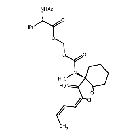 C=C(/C(Cl)=C\C=C/C)[C@]1(N(C)C(=O)OCOC(=O)[C@@H](NC(C)=O)C(C)C)CCCCC1=O